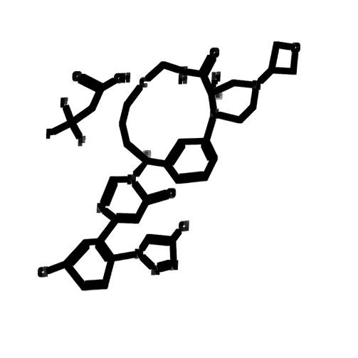 O=C(O)CC(F)(F)F.O=C1NCCCCC[C@H](n2cnc(-c3cc(Cl)ccc3-n3cc(Cl)nn3)cc2=O)c2cccc(c2)N2CCN(C3COC3)C[C@H]12